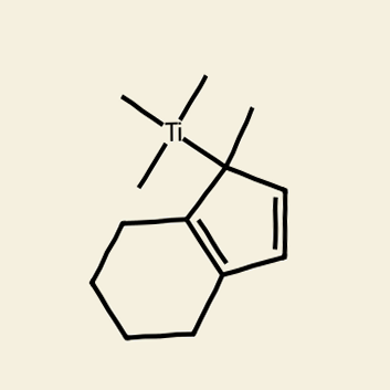 C[C]1([Ti]([CH3])([CH3])[CH3])C=CC2=C1CCCC2